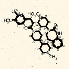 Cc1ccc(CC(C(=O)N2CCC(C3CCN(C)CC3)CC2)[C@H]2CC(N3CCc4ccccc4NC3=O)CCN2C(=O)O)cc1Cl